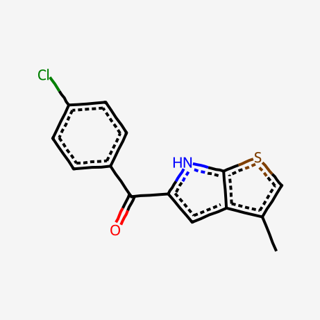 Cc1csc2[nH]c(C(=O)c3ccc(Cl)cc3)cc12